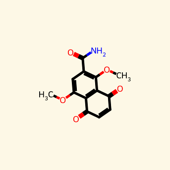 COc1cc(C(N)=O)c(OC)c2c1C(=O)C=CC2=O